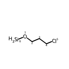 [SiH3]OCCCCl